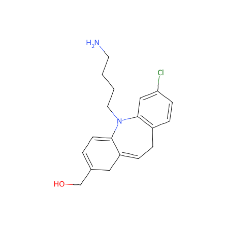 NCCCCN1C2=CC=C(CO)CC2=CCc2ccc(Cl)cc21